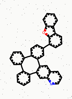 c1ccc2c(c1)-c1ccccc1-c1cc3ncccc3cc1-c1cc(-c3cccc4c3oc3ccccc34)ccc1-2